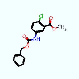 COC(=O)c1cc(NC(=O)OCc2ccccc2)ccc1Cl